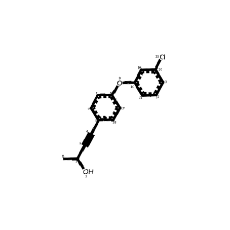 CC(O)C#Cc1ccc(Oc2cccc(Cl)c2)cc1